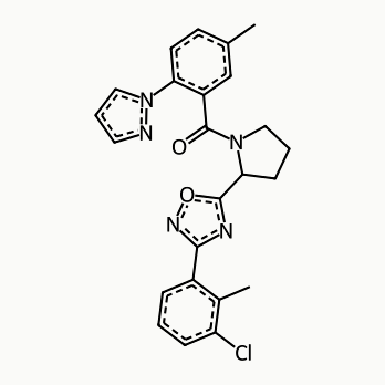 Cc1ccc(-n2cccn2)c(C(=O)N2CCCC2c2nc(-c3cccc(Cl)c3C)no2)c1